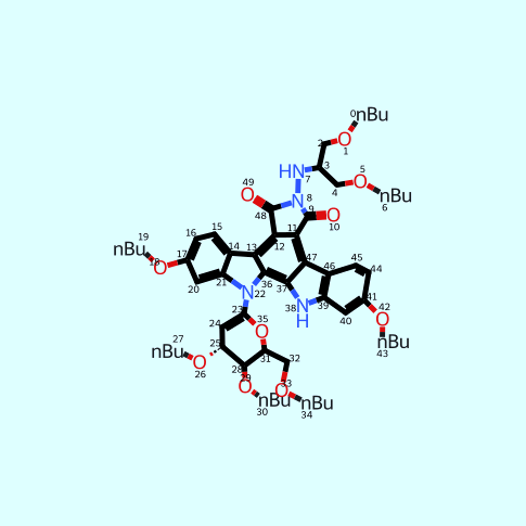 CCCCOCC(COCCCC)NN1C(=O)c2c(c3c4ccc(OCCCC)cc4n(C4=C[C@@H](OCCCC)C(OCCCC)C(COCCCC)O4)c3c3[nH]c4cc(OCCCC)ccc4c23)C1=O